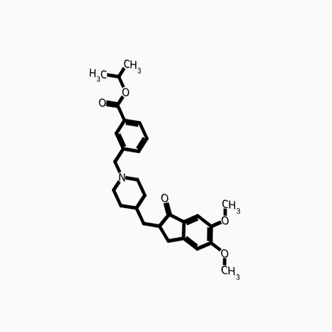 COc1cc2c(cc1OC)C(=O)C(CC1CCN(Cc3cccc(C(=O)OC(C)C)c3)CC1)C2